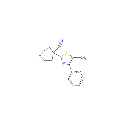 Cc1sc(C2(C#N)CCOCC2)nc1-c1ccccc1